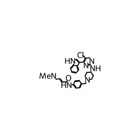 CNCC=CC(=O)Nc1ccc(CN2CCC(Nc3ncc(Cl)c(-c4c[nH]c5ccccc45)n3)CC2)cc1